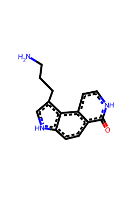 NCCCc1c[nH]c2ccc3c(=O)[nH]ccc3c12